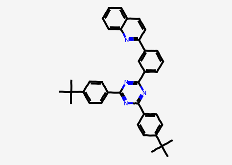 CC(C)(C)c1ccc(-c2nc(-c3ccc(C(C)(C)C)cc3)nc(-c3cccc(-c4ccc5ccccc5n4)c3)n2)cc1